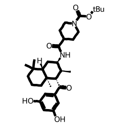 C[C@@H]1[C@H](NC(=O)C2CCN(C(=O)OC(C)(C)C)CC2)C[C@H]2C(C)(C)CCC[C@]2(C)[C@H]1C(=O)c1cc(O)cc(O)c1